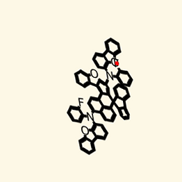 Fc1ccccc1N(c1ccc2c3c(cccc13)C1(c3ccccc3-c3ccccc31)c1cc(N(c3ccccc3F)c3cccc4c3oc3ccccc34)c3oc4ccccc4c3c1-2)c1cccc2c1oc1ccccc12